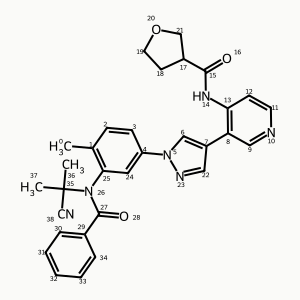 Cc1ccc(-n2cc(-c3cnccc3NC(=O)C3CCOC3)cn2)cc1N(C(=O)c1ccccc1)C(C)(C)C#N